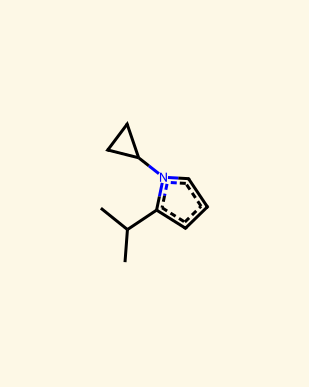 CC(C)c1cccn1C1CC1